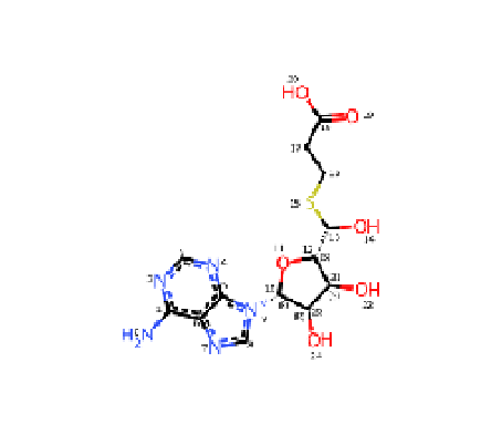 Nc1ncnc2c1ncn2[C@@H]1O[C@H](C(O)SCCC(=O)O)[C@@H](O)[C@H]1O